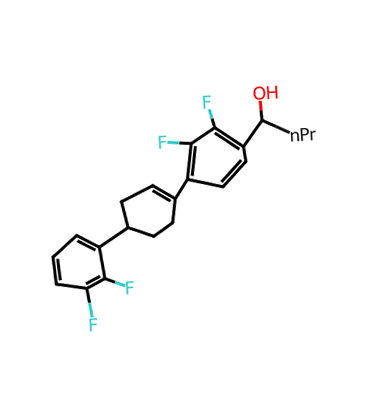 CCCC(O)c1ccc(C2=CCC(c3cccc(F)c3F)CC2)c(F)c1F